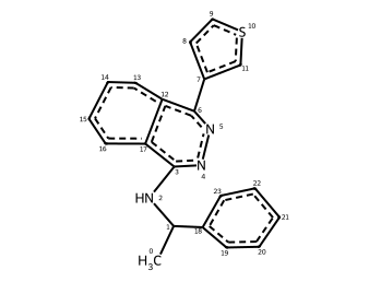 CC(Nc1nnc(-c2ccsc2)c2ccccc12)c1ccccc1